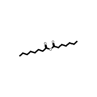 CCCCCCCC(=O)OC(=O)CCCCCC